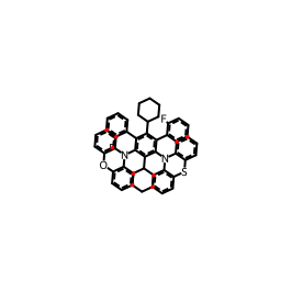 Fc1ccccc1-c1c(C2CCCCC2)c(-c2ccccc2F)c(N2c3ccccc3Sc3ccccc32)c(C2CCCCC2)c1N1c2ccccc2Oc2ccccc21